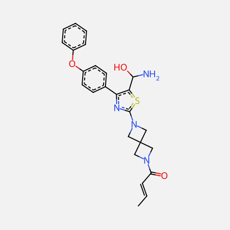 C/C=C/C(=O)N1CC2(C1)CN(c1nc(-c3ccc(Oc4ccccc4)cc3)c(C(N)O)s1)C2